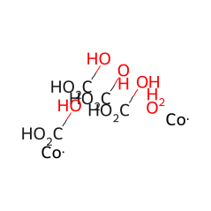 O.O=C(O)O.O=C(O)O.O=C(O)O.O=C(O)O.[Co].[Co]